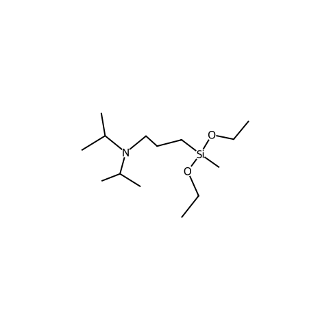 CCO[Si](C)(CCCN(C(C)C)C(C)C)OCC